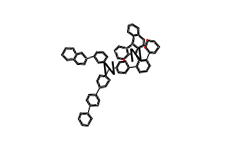 c1ccc(-c2ccc(-c3ccc(N(c4ccc(-c5cccc(-c6ccccc6)c5-n5c6ccccc6c6c7ccccc7ccc65)cc4)c4cccc(-c5ccc6ccccc6c5)c4)cc3)cc2)cc1